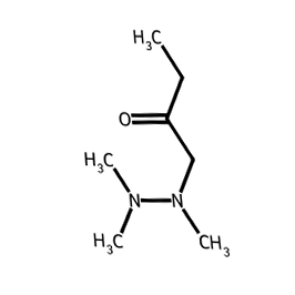 CCC(=O)CN(C)N(C)C